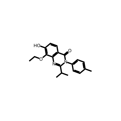 CCOc1c(O)ccc2c(=O)n(-c3ccc(C)cc3)c(C(C)C)nc12